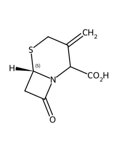 C=C1CS[C@H]2CC(=O)N2C1C(=O)O